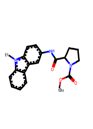 CCn1c2ccccc2c2cc(NC(=O)C3CCCN3C(=O)OC(C)(C)C)ccc21